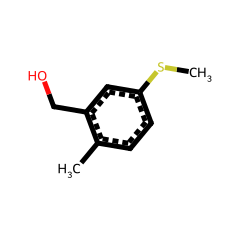 CSc1ccc(C)c(CO)c1